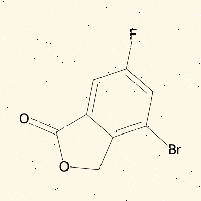 O=C1OCc2c(Br)cc(F)cc21